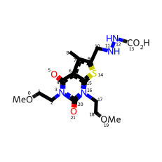 COCCn1c(=O)c2c(C)c(CNNC(=O)O)sc2n(CCOC)c1=O